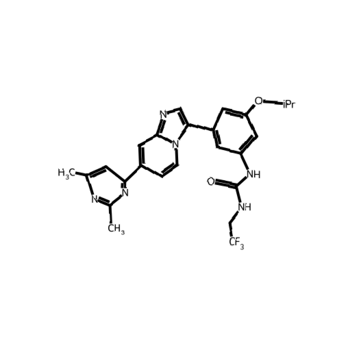 Cc1cc(-c2ccn3c(-c4cc(NC(=O)NCC(F)(F)F)cc(OC(C)C)c4)cnc3c2)nc(C)n1